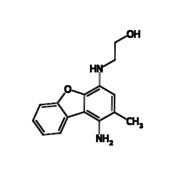 Cc1cc(NCCO)c2oc3ccccc3c2c1N